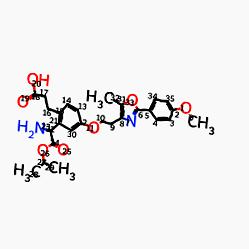 COc1ccc(-c2nc(CCOc3ccc(CCC(=O)O)c(C(N)C(=O)OC(C)C)c3)c(C)o2)cc1